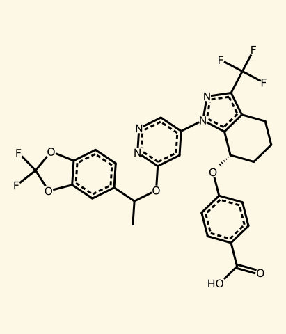 CC(Oc1cc(-n2nc(C(F)(F)F)c3c2[C@@H](Oc2ccc(C(=O)O)cc2)CCC3)cnn1)c1ccc2c(c1)OC(F)(F)O2